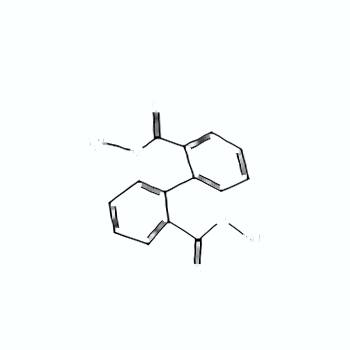 NOC(=O)c1ccccc1-c1ccccc1C(=O)ON